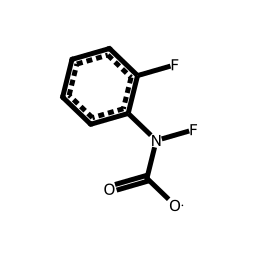 [O]C(=O)N(F)c1ccccc1F